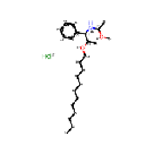 CCCCCCCCCCCCOC(C)C(NC(C)OC)c1ccccc1.Cl